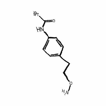 CC(C)C(=O)Nc1ccc(CCON)cc1